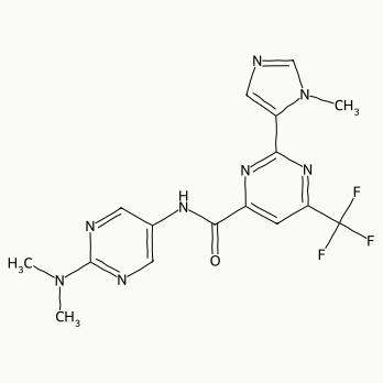 CN(C)c1ncc(NC(=O)c2cc(C(F)(F)F)nc(-c3cncn3C)n2)cn1